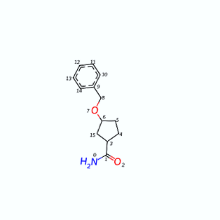 NC(=O)C1CCC(OCc2ccccc2)C1